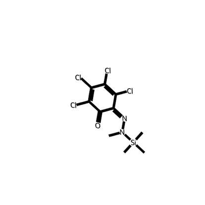 CN(N=C1C(=O)C(Cl)=C(Cl)C(Cl)=C1Cl)[Si](C)(C)C